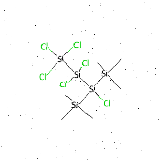 C[Si](C)(C)[Si](Cl)([Si](C)(C)C)[Si](Cl)(Cl)[Si](Cl)(Cl)Cl